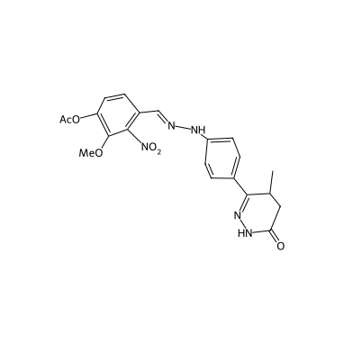 COc1c(OC(C)=O)ccc(C=NNc2ccc(C3=NNC(=O)CC3C)cc2)c1[N+](=O)[O-]